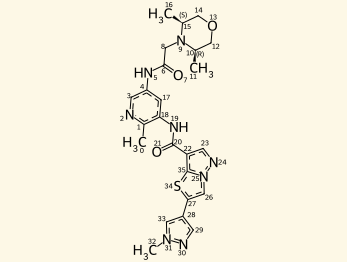 Cc1ncc(NC(=O)CN2[C@H](C)COC[C@@H]2C)cc1NC(=O)c1cnn2cc(-c3cnn(C)c3)sc12